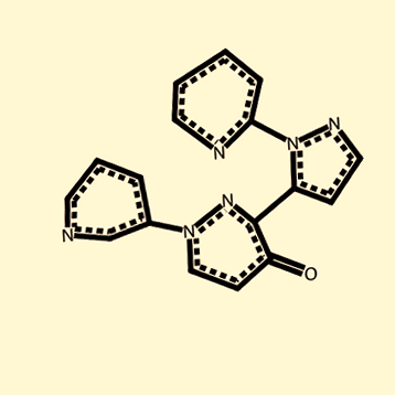 O=c1ccn(-c2cccnc2)nc1-c1ccnn1-c1ccccn1